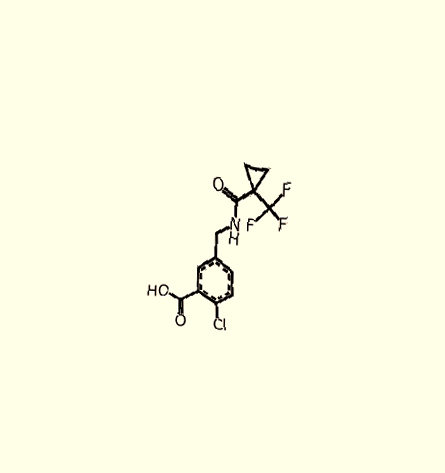 O=C(O)c1cc(CNC(=O)C2(C(F)(F)F)CC2)ccc1Cl